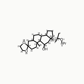 CCCOC(C)(C)[C@H]1CCC2C3CCC4CC5(CCC4(C)C3C(O)CC21CC)OCCO5